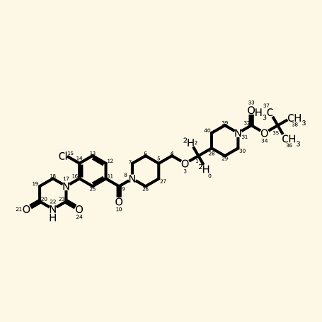 [2H]C([2H])(OCC1CCN(C(=O)c2ccc(Cl)c(N3CCC(=O)NC3=O)c2)CC1)C1CCN(C(=O)OC(C)(C)C)CC1